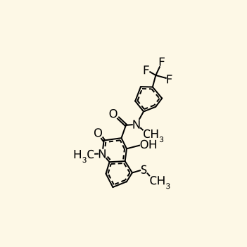 CSc1cccc2c1c(O)c(C(=O)N(C)c1ccc(C(F)(F)F)cc1)c(=O)n2C